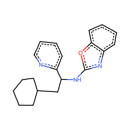 c1ccc(C(CC2CCCCC2)Nc2nc3ccccc3o2)nc1